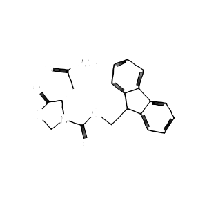 COC(=O)C[C@H]1C(=O)OCN1C(=O)OCC1c2ccccc2-c2ccccc21